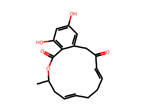 CC1C/C=C/CC/C=C/C(=O)Cc2cc(O)cc(O)c2C(=O)O1